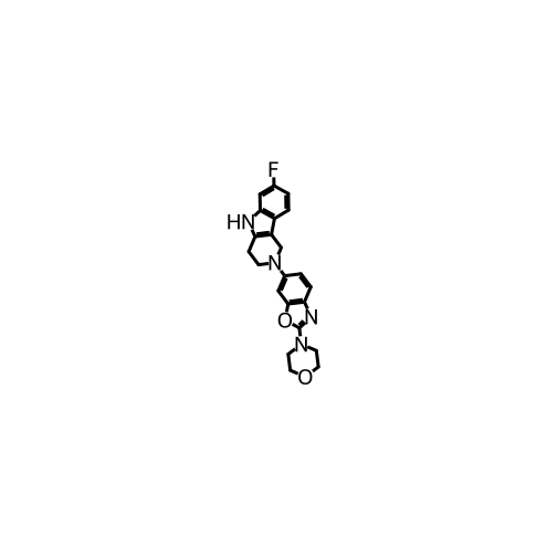 Fc1ccc2c3c([nH]c2c1)CCN(c1ccc2nc(N4CCOCC4)oc2c1)C3